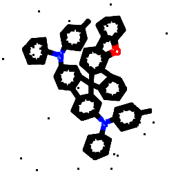 Cc1ccc(N(c2ccccc2)c2ccc3c(c2)C2(c4cc(N(c5ccccc5)c5ccc(C)cc5)ccc4-3)c3ccccc3-c3c2ccc2c3oc3ccccc32)cc1